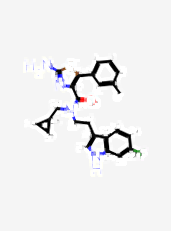 Cc1cccc(-c2sc(N)nc2C(=O)N(CCc2c[nH]c3cc(F)ccc23)CC2CC2)c1